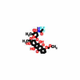 COCOc1cccc2c1C(=O)c1c(O)c3c(c(O)c1C2=O)C[C@@](O)(C(C)=O)C[C@@H]3OC1CC(NC(=O)C(F)(F)F)C(O)C(C)O1